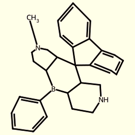 CN1CCC2B(c3ccccc3)C3CCNCC3C3(c4ccccc4-c4ccccc43)C2C1